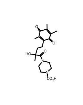 CC1=C(C)C(=O)C(CCC(C)(O)C(=O)N2CCN(C(=O)O)CC2)=C(C)C1=O